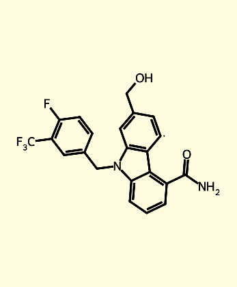 NC(=O)c1cccc2c1c1[c]cc(CO)cc1n2Cc1ccc(F)c(C(F)(F)F)c1